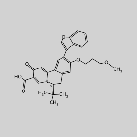 COCCCOc1cc2c(cc1-c1coc3ccccc13)-c1cc(=O)c(C(=O)O)cn1[C@H](C(C)(C)C)C2